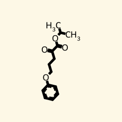 CC(C)OC(=O)C(=O)CCCOc1ccccc1